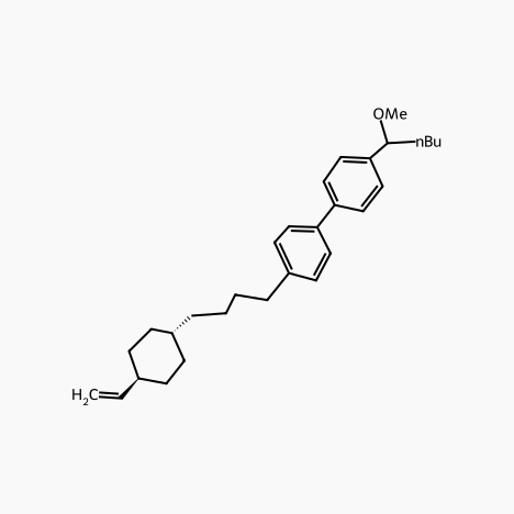 C=C[C@H]1CC[C@H](CCCCc2ccc(-c3ccc(C(CCCC)OC)cc3)cc2)CC1